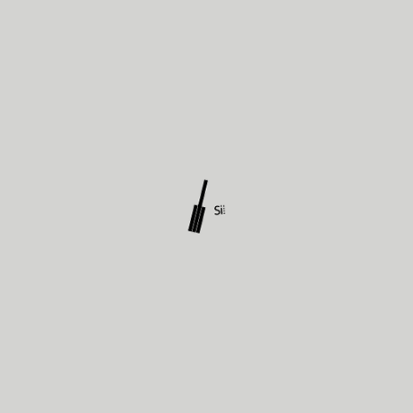 C#CC.[Si]